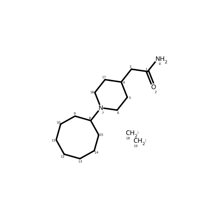 NC(=O)CC1CCN([C]2CCCCCCC2)CC1.[CH2].[CH2]